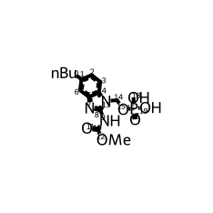 CCCCc1ccc2c(c1)nc(NC(=O)OC)n2COP(=O)(O)O